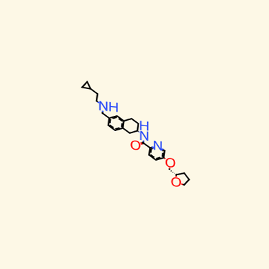 O=C(N[C@H]1CCc2cc(CNCCC3CC3)ccc2C1)c1ccc(OC[C@@H]2CCCO2)cn1